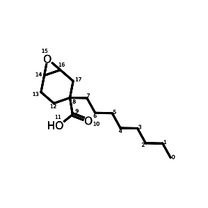 CCCCCCCCC1(C(=O)O)CCC2OC2C1